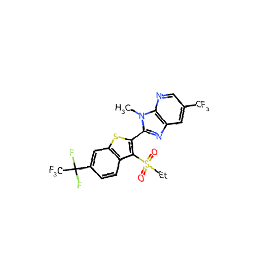 CCS(=O)(=O)c1c(-c2nc3cc(C(F)(F)F)cnc3n2C)sc2cc(C(F)(F)C(F)(F)F)ccc12